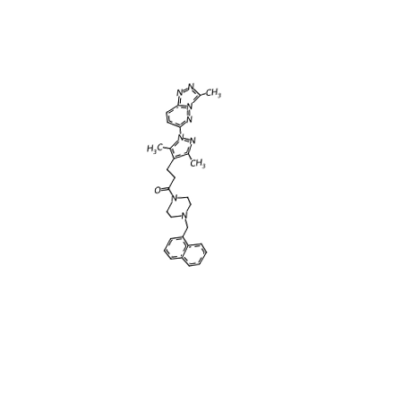 Cc1nn(-c2ccc3nnc(C)n3n2)c(C)c1CCC(=O)N1CCN(Cc2cccc3ccccc23)CC1